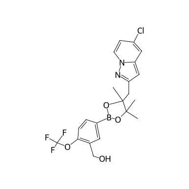 CC1(C)OB(c2ccc(OC(F)(F)F)c(CO)c2)OC1(C)Cc1cc2cc(Cl)ccn2n1